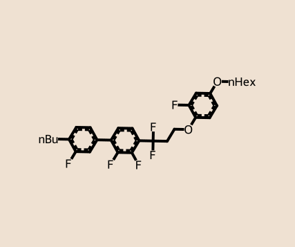 CCCCCCOc1ccc(OCCC(F)(F)c2ccc(-c3ccc(CCCC)c(F)c3)c(F)c2F)c(F)c1